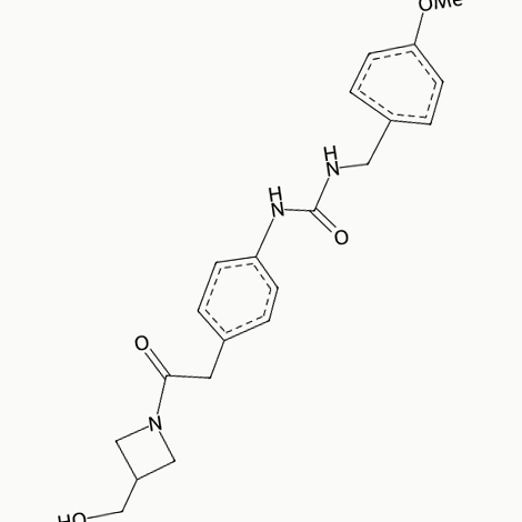 COc1ccc(CNC(=O)Nc2ccc(CC(=O)N3CC(CO)C3)cc2)cc1